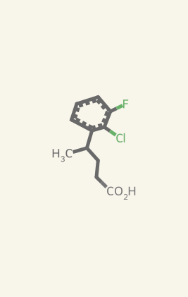 CC(CCC(=O)O)c1cccc(F)c1Cl